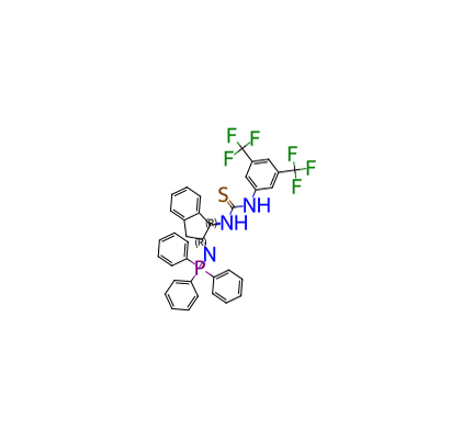 FC(F)(F)c1cc(NC(=S)N[C@@H]2c3ccccc3C[C@H]2N=P(c2ccccc2)(c2ccccc2)c2ccccc2)cc(C(F)(F)F)c1